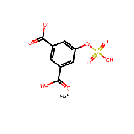 O=C([O-])c1cc(OS(=O)(=O)O)cc(C(=O)O)c1.[Na+]